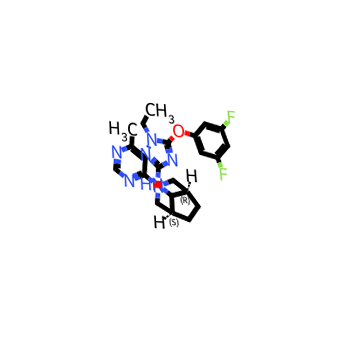 CCn1nc(NC2[C@@H]3CC[C@H]2CN(c2cc(C)ncn2)C3)nc1Oc1cc(F)cc(F)c1